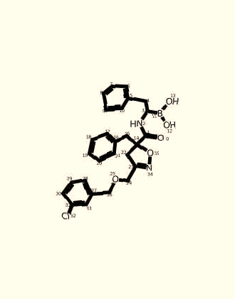 O=C(NC(Cc1ccccc1)B(O)O)C1(Cc2ccccc2)CC(COCc2cccc(Cl)c2)=NO1